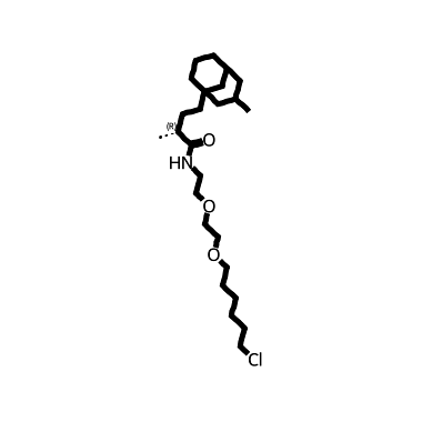 CC1CC2CCCC(CC[C@@H](C)C(=O)NCCOCCOCCCCCCCl)(C1)C2